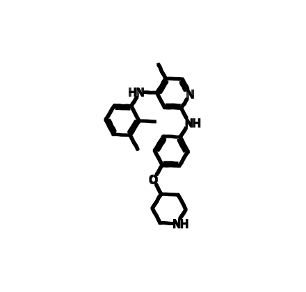 Cc1cnc(Nc2ccc(OC3CCNCC3)cc2)cc1Nc1cccc(C)c1C